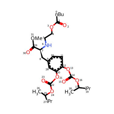 CCCCC(=O)OCCN[C@@H](Cc1ccc(OC(=O)OC(C)C(C)C)c(OC(=O)OC(C)C(C)C)c1)C(=O)OC